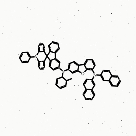 CC1C=CC=CC1N(c1ccc2c(c1)-c1ccccc1C21c2ccccc2N(c2ccccc2)c2ccccc21)c1ccc2c(c1)oc1c(N(c3ccc4ccccc4c3)c3ccc4ccccc4c3)cccc12